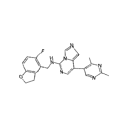 Cc1ncc(-c2cnc(NCc3c(F)ccc4c3CCO4)n3cncc23)c(C)n1